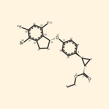 CCOC(=O)[C@H]1C[C@@H]1c1ccc(O[C@@H]2CCc3c(Br)c(F)cc(F)c32)cc1